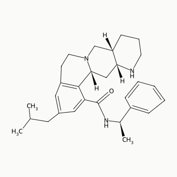 CC(C)Cc1cc2c(c(C(=O)N[C@H](C)c3ccccc3)c1)[C@H]1C[C@H]3NCCC[C@H]3CN1CC2